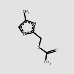 CC(=O)SCc1nc(C)cs1